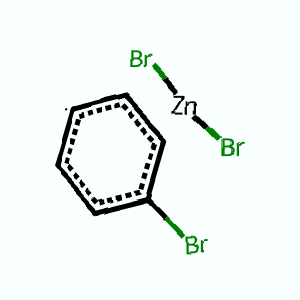 Brc1cc[c]cc1.[Br][Zn][Br]